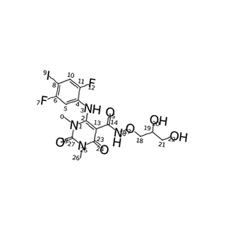 Cn1c(Nc2cc(F)c(I)cc2F)c(C(=O)NOCC(O)CO)c(=O)n(C)c1=O